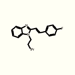 CC(C)CCn1c(/C=C/c2ccc(F)cc2)nc2ccccc21